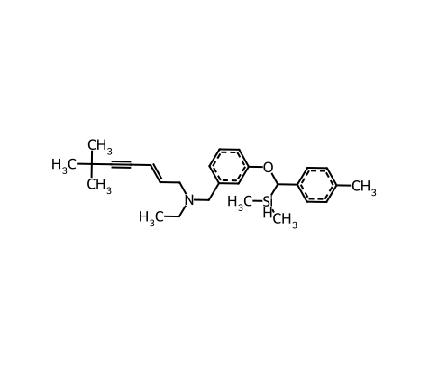 CCN(CC=CC#CC(C)(C)C)Cc1cccc(OC(c2ccc(C)cc2)[SiH](C)C)c1